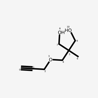 C#CCOCC(C)(CO)CO